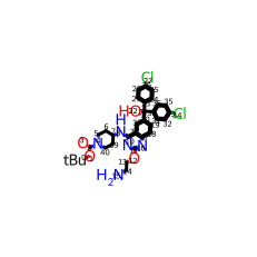 CC(C)(C)OC(=O)N1CCC(Nc2nc(OCCN)nc3ccc(C(O)(c4ccc(Cl)cc4)c4ccc(Cl)cc4)cc23)CC1